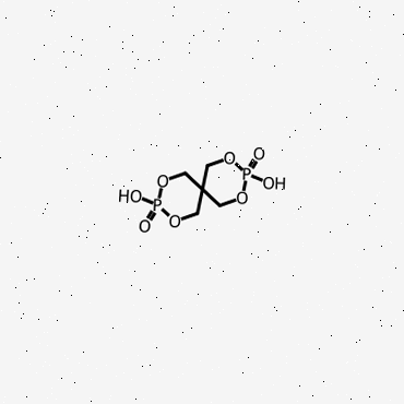 O=P1(O)OCC2(CO1)COP(=O)(O)OC2